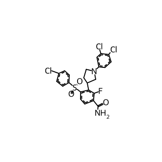 NC(=O)c1ccc(S(=O)(=O)c2ccc(Cl)cc2)c(C2CCN(c3ccc(Cl)c(Cl)c3)C2)c1F